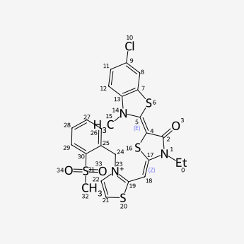 CCn1c(=O)/c(=C2\Sc3cc(Cl)ccc3N2C)s/c1=C\c1scc[n+]1Cc1ccccc1S(C)(=O)=O